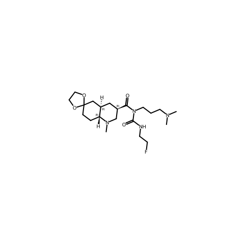 CN(C)CCCN(C(=O)NCCF)C(=O)[C@@H]1C[C@@H]2CC3(CC[C@H]2N(C)C1)OCCO3